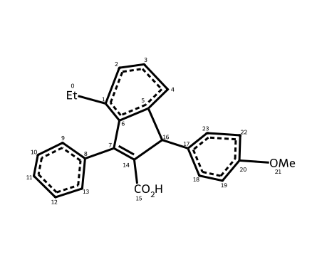 CCc1cccc2c1C(c1ccccc1)=C(C(=O)O)C2c1ccc(OC)cc1